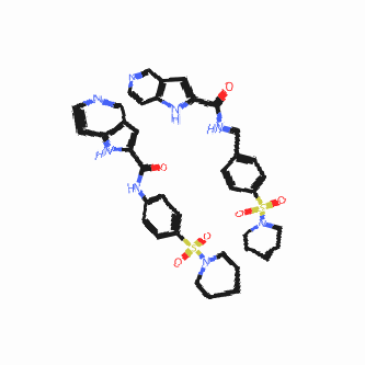 O=C(NCc1ccc(S(=O)(=O)N2CCCCC2)cc1)c1cc2cnccc2[nH]1.O=C(Nc1ccc(S(=O)(=O)N2CCCCC2)cc1)c1cc2cnccc2[nH]1